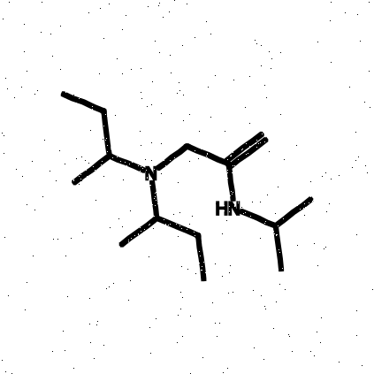 C=C(CN(C(C)CC)C(C)CC)NC(C)C